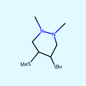 CSC1CN(C)N(C)CC1C(C)(C)C